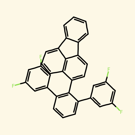 Fc1cc(F)cc(-c2cccc(-c3cc(F)cc(F)c3)c2-c2ccc3c4c(cccc24)-c2ccccc2-3)c1